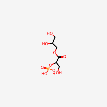 O=C(OCC(O)CO)C(CO)OP(=O)(O)O